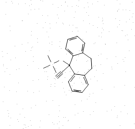 C[Si](C)(C)OC1(C#N)c2ccccc2CCc2ccccc21